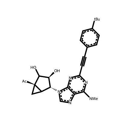 CNc1nc(C#Cc2ccc(C(C)(C)C)cc2)nc2c1ncn2[C@@H]1C2C[C@]2(C(C)=O)C(O)[C@H]1O